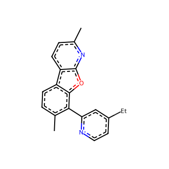 CCc1ccnc(-c2c(C)ccc3c2oc2nc(C)ccc23)c1